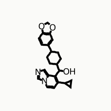 OC(c1c(C2CC2)ccn2cncc12)C1CCC(c2ccc3c(c2)OCO3)CC1